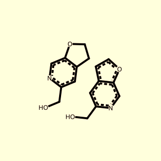 OCc1cc2c(cn1)OCC2.OCc1cc2ccoc2cn1